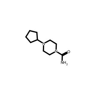 NC(=O)N1CCN(C2CCCC2)CC1